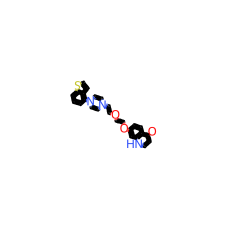 O=C1CCNc2cc(OCCOCCN3CCN(c4cccc5sccc45)CC3)ccc21